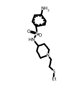 CCSCCN1CCC(NS(=O)(=O)c2ccc(N)cc2)CC1